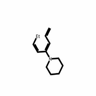 C=C/C=C(\C=C/CC)N1CCCCC1